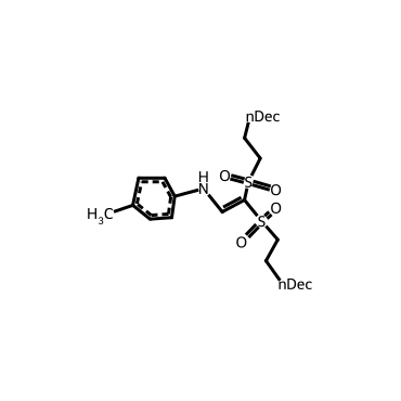 CCCCCCCCCCCCS(=O)(=O)C(=CNc1ccc(C)cc1)S(=O)(=O)CCCCCCCCCCCC